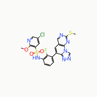 COc1ncc(Cl)cc1S(=O)(=O)Nc1cccc(-c2cc3cnc(SC)nc3n3cnnc23)c1F